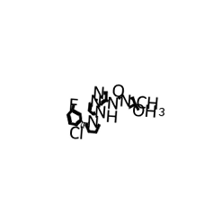 CC1(O)CN(C(=O)Nc2cnn3ccc(N4CCC[C@@H]4c4cc(F)ccc4Cl)nc23)C1